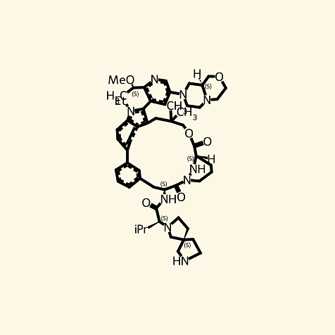 CCn1c(-c2cc(N3CCN4CCOC[C@@H]4C3)cnc2[C@H](C)OC)c2c3cc(ccc31)-c1cccc(c1)C[C@H](NC(=O)[C@H](C(C)C)N1CC[C@]3(CCNC3)C1)C(=O)N1CCC[C@H](N1)C(=O)OCC(C)(C)C2